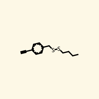 C#Cc1ccc(CSSCCCC)cc1